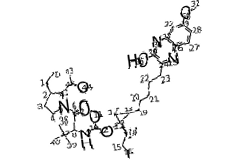 CC[C@@H]1CCN(C(=O)C(NC(=O)O[C@]2(CCF)C[C@H]2CCCCCc2nc3ccc(OC)cc3nc2O)C(C)(C)C)[C@@H]1C(C)=O